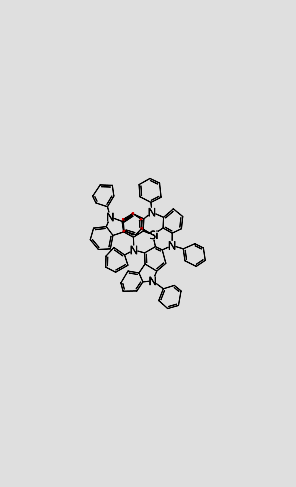 c1ccc(N2c3cccc4c3[Si]3(c5ccccc5)c5c2cc2c(c5N(c5ccccc5)c5c3c(cc3c5c5ccccc5n3-c3ccccc3)N4c3ccccc3)c3ccccc3n2-c2ccccc2)cc1